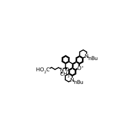 CCCCN1CCCc2cc3c(-c4ccccc4C(=O)N(C)CCCC(=O)O)c4cc5c(cc4[o+]c3cc21)N(CCCC)CCC5